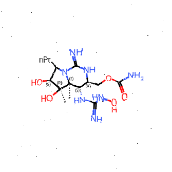 CCCC1[C@H](O)[C@](C)(O)[C@]2(C)[C@@H](NC(=N)NO)[C@H](COC(N)=O)NC(=N)N12